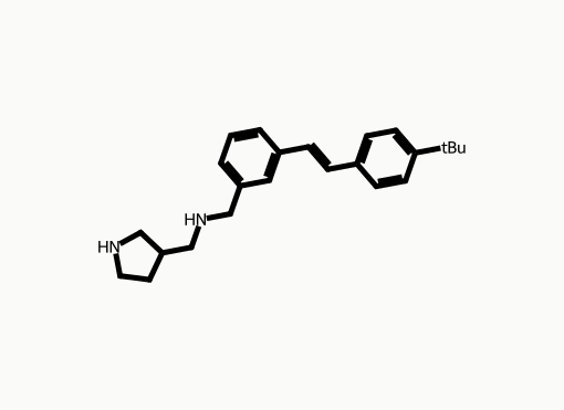 CC(C)(C)c1ccc(/C=C/c2cccc(CNCC3CCNC3)c2)cc1